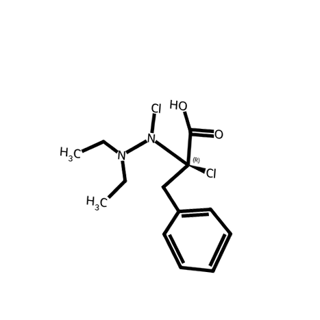 CCN(CC)N(Cl)[C@@](Cl)(Cc1ccccc1)C(=O)O